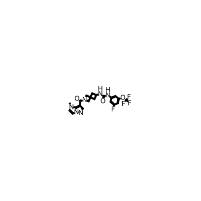 Cn1ccn2ncc(C(=O)N3CC4(CC(NC(=O)Nc5cc(F)cc(OC(F)(F)F)c5)C4)C3)c12